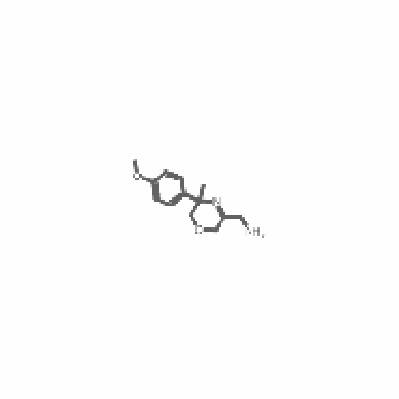 COc1ccc(C2(C)COCC(CN)=N2)cc1